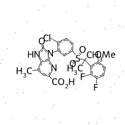 COc1ccc(F)c(F)c1C(C)(C)S(=O)(=O)c1ccc(Cl)c(-n2c(=O)[nH]c3c(C)cc(C(=O)O)nc32)c1